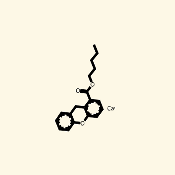 CCCCCOC(=O)c1cccc2c1Cc1ccccc1O2.[Ca]